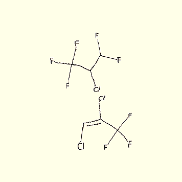 FC(F)(F)/C(Cl)=C\Cl.FC(F)C(Cl)C(F)(F)F